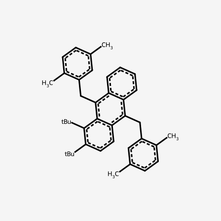 Cc1ccc(C)c(Cc2c3ccccc3c(Cc3cc(C)ccc3C)c3c(C(C)(C)C)c(C(C)(C)C)ccc23)c1